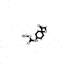 CC(C)(C)OC(=O)NC1CCC2(CC1)OCC2=O